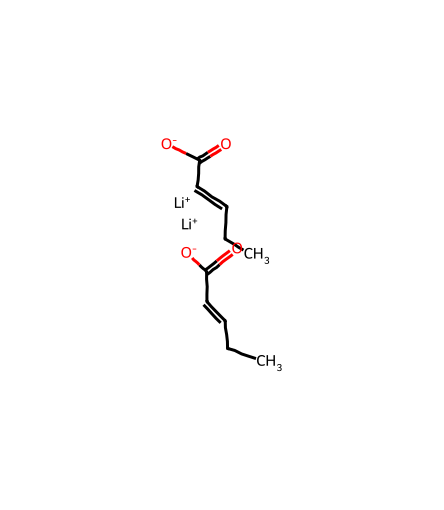 CCC=CC(=O)[O-].CCC=CC(=O)[O-].[Li+].[Li+]